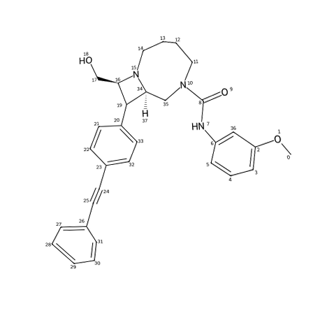 COc1cccc(NC(=O)N2CCCCN3[C@H](CO)C(c4ccc(C#Cc5ccccc5)cc4)[C@@H]3C2)c1